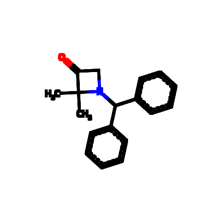 CC1(C)C(=O)CN1C(c1ccccc1)c1ccccc1